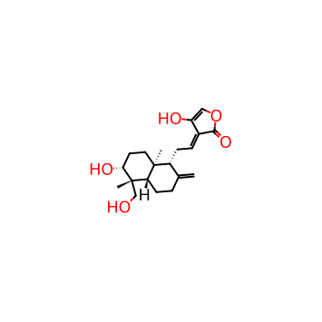 C=C1CC[C@@H]2[C@](C)(CO)[C@H](O)CC[C@@]2(C)[C@@H]1C/C=C1/C(=O)OC=C1O